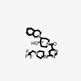 O=C(c1cc(NC2CCN(CC(F)(F)F)CC2)ncn1)N1CC[C@@H](O)[C@H](N2CCc3ccccc3C2)CC1